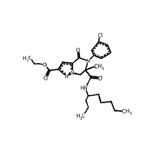 CCCCCC(CCC)NC(=O)C1(C)Cn2nc(C(=O)OCC)cc2C(=O)N1c1cccc(Cl)c1